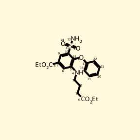 CCOC(=O)CCCNc1cc(C(=O)OCC)cc(S(N)(=O)=O)c1Oc1ccccc1